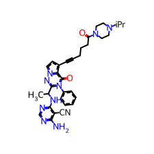 CC(Nc1ncnc(N)c1C#N)c1nn2ccc(C#CCCCC(=O)N3CCN(C(C)C)CC3)c2c(=O)n1-c1ccccc1